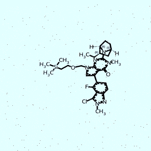 CC[C@@H]1C[C@@H]2CC[C@H]1N2c1nc2c(c(-c3ccc4nn(C)c(Cl)c4c3F)cn2COCC[Si](C)(C)C)c(=O)n1C